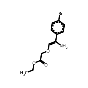 CCOC(=O)CO/C=C(\N)c1ccc(Br)cc1